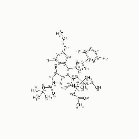 COCOc1cc(F)cc(Cn2cc(-c3cc(F)ccc3F)nc2[C@H](N(CC2CN(C(=O)OC(C)(C)C)CC2F)C(=O)[C@H](C)OC(C)=O)C(C)(C)CCO)c1